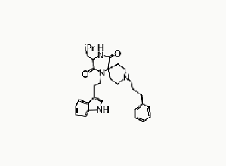 CC(C)CC1NC(=O)C2(CCN(CCCc3ccccc3)CC2)N(CCc2c[nH]c3ccccc23)C1=O